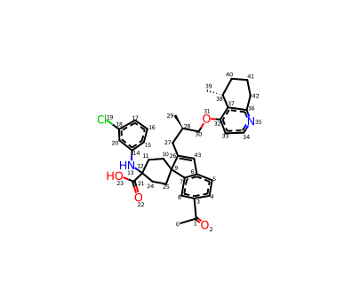 CC(=O)c1ccc2c(c1)C1(CCC(Nc3cccc(Cl)c3)(C(=O)O)CC1)C(C[C@@H](C)COc1ccnc3c1[C@H](C)CCC3)=C2